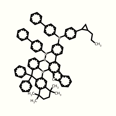 CCCC1CC1c1ccc(N(c2ccc(-c3ccccc3)cc2)c2ccc3c(c2)N(c2ccc(-c4ccccc4)cc2)B2c4cccc5c4N(c4cc6c(cc4C5(c4ccccc4)c4ccccc4)C(C)(C)CCC6(C)C)c4c2c-3cc2c4oc3ccccc32)cc1